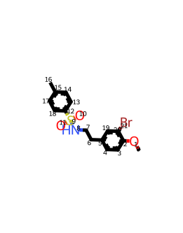 COc1ccc(CCNS(=O)(=O)c2ccc(C)cc2)cc1Br